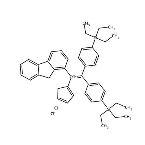 CC[Si](CC)(CC)c1ccc([C](c2ccc([Si](CC)(CC)CC)cc2)=[Zr+2]([C]2=CC=CC2)[c]2cccc3c2Cc2ccccc2-3)cc1.[Cl-].[Cl-]